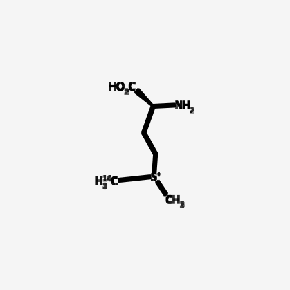 C[S+]([14CH3])CC[C@H](N)C(=O)O